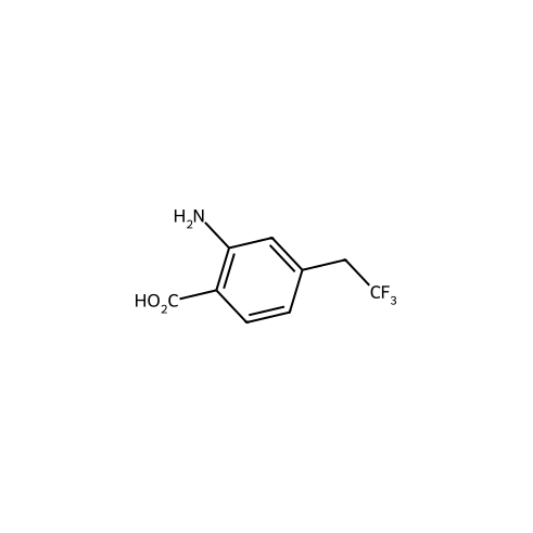 Nc1cc(CC(F)(F)F)ccc1C(=O)O